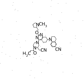 C=CC(=O)N1CCN(c2nc(OCC3CCCN3C)nc3c2CCC(N2CCCc4cc(C#N)ccc42)C3)CC1CC#N